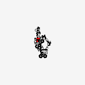 C=C1C(C)CC2CC[C@@H]3OC(CCC(=O)CC4O[C@H]5C(CC(C)(C)[Si](O)(c6ccccc6)c6ccccc6)[C@H]6OC(CCC6O[C@H]5C4CC(C)(C)[Si](O)(c4ccccc4)c4ccccc4)CC(=O)CC4[C@H](CC1O2)O[C@H](CC1CN(C(=O)OC(C)(C)C)C(C)(C)O1)[C@@H]4OC)CC3=C